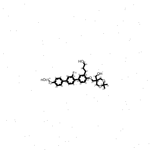 CCCCCCCCOc1ccc(-c2ccc(-c3ccc(OCC4(CO)COC(C)(C)OC4)c(CCCO)c3)c(F)c2)cc1